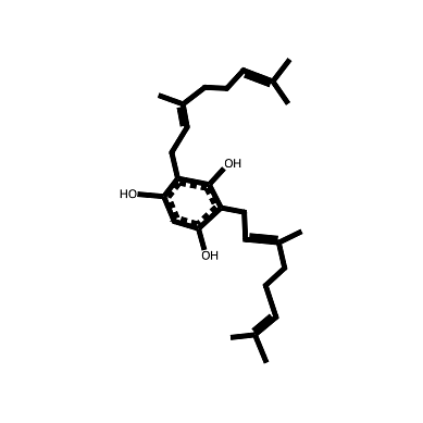 CC(C)=CCC/C(C)=C/Cc1c(O)[c]c(O)c(C/C=C(\C)CCC=C(C)C)c1O